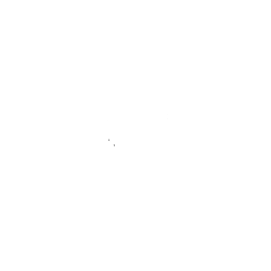 C=Cc1cc(Cl)cc(Cl)n1